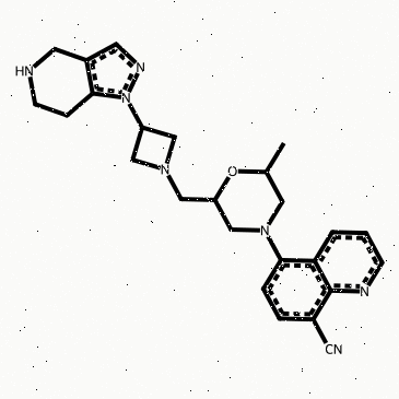 CC1CN(c2ccc(C#N)c3ncccc23)CC(CN2CC(n3ncc4c3CCNC4)C2)O1